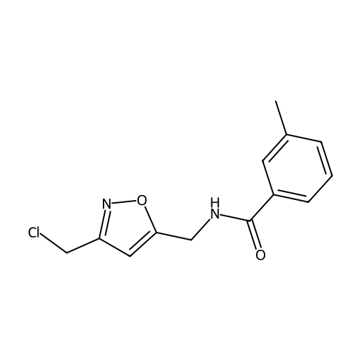 Cc1cccc(C(=O)NCc2cc(CCl)no2)c1